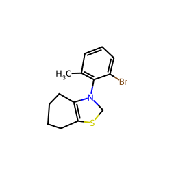 Cc1cccc(Br)c1N1CSC2=C1CCCC2